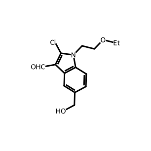 CCOCCn1c(Cl)c(C=O)c2cc(CO)ccc21